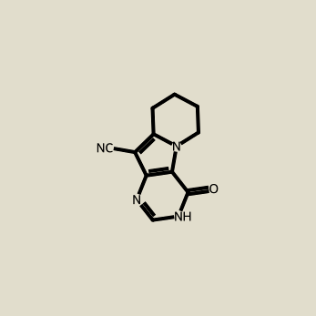 N#Cc1c2n(c3c(=O)[nH]cnc13)CCCC2